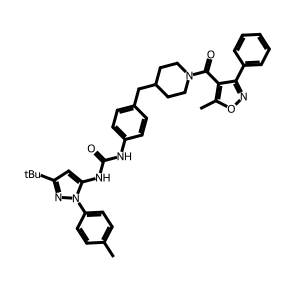 Cc1ccc(-n2nc(C(C)(C)C)cc2NC(=O)Nc2ccc(CC3CCN(C(=O)c4c(-c5ccccc5)noc4C)CC3)cc2)cc1